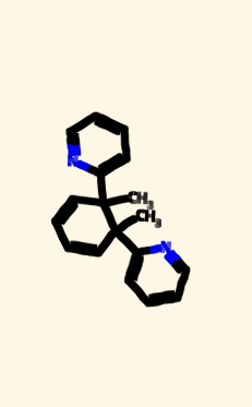 CC1(c2ccccn2)C=CC=CC1(C)c1ccccn1